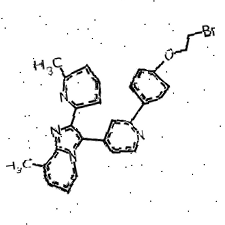 Cc1cccc(-c2nc3c(C)cccn3c2-c2ccnc(-c3ccc(OCCBr)cc3)c2)n1